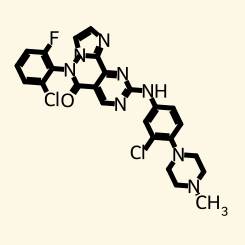 CN1CCN(c2ccc(Nc3ncc4c(=O)n(-c5c(F)cccc5Cl)n5ccnc5c4n3)cc2Cl)CC1